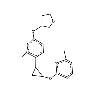 Cc1cccc(OC2CC2c2ccc(OC3CCOC3)nc2C)n1